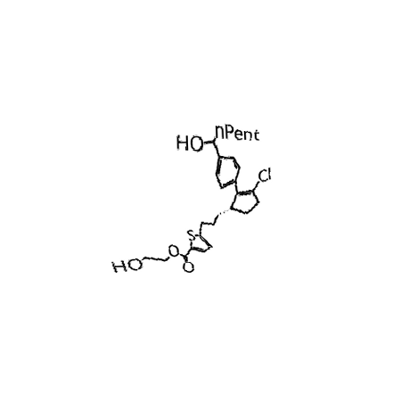 CCCCCC(O)c1ccc(C2=C(Cl)CC[C@@H]2CCCc2ccc(C(=O)OCCO)s2)cc1